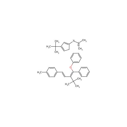 C[SiH](C)[Ti][C]1=CC(C(C)(C)C)=CC1.Cc1ccc(C=CC(=C(Oc2ccccc2)c2ccccc2)C(C)(C)C)cc1